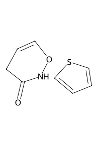 O=C1CC=CON1.c1ccsc1